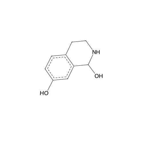 Oc1ccc2c(c1)C(O)NCC2